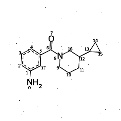 Nc1cccc(C(=O)N2CCCC(C3CC3)C2)c1